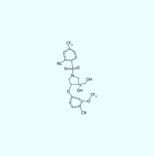 N#Cc1ccc(OC2CN(S(=O)(=O)c3ccc(C(F)(F)F)cc3C#N)C[C@@]2(O)CO)cc1OC(F)(F)F